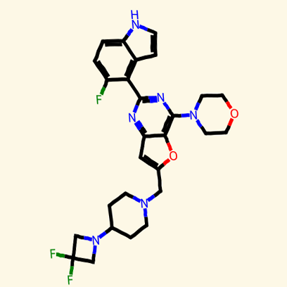 Fc1ccc2[nH]ccc2c1-c1nc(N2CCOCC2)c2oc(CN3CCC(N4CC(F)(F)C4)CC3)cc2n1